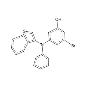 Oc1cc(Br)cc(N(c2ccccc2)c2csc3ccccc23)c1